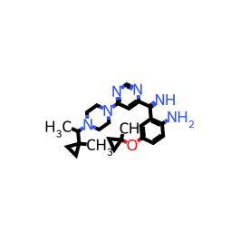 CC(N1CCN(c2cc(C(=N)c3cc(OC4(C)CC4)ccc3N)ncn2)CC1)C1(C)CC1